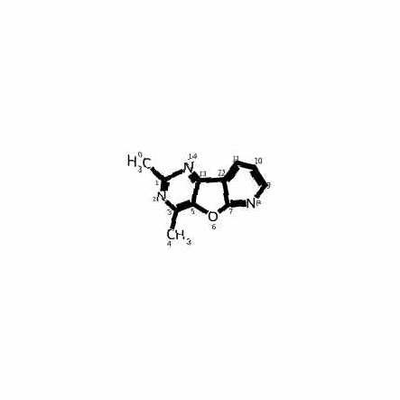 Cc1nc(C)c2oc3ncccc3c2n1